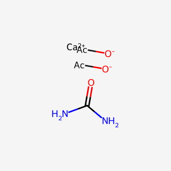 CC(=O)[O-].CC(=O)[O-].NC(N)=O.[Ca+2]